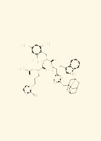 Cc1cc(O)cc(C)c1C[C@H](NC(=O)[C@@H](CCCn1ccnc1N)OC(N)=O)C(=O)N[C@@H](Cc1c[nH]c2ccccc12)c1nc(CC23CC4CC(CC(C4)C2)C3)no1